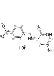 Br.NC(=O)C[C@H](NCc1ccc([N+](=O)[O-])cc1)C(=O)O